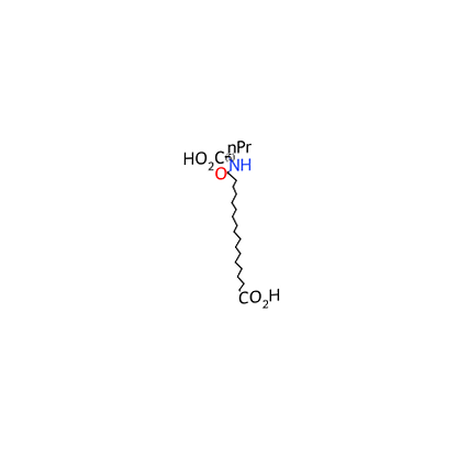 CCC[C@H](NC(=O)CCCCCCCCCCCCCCCCC(=O)O)C(=O)O